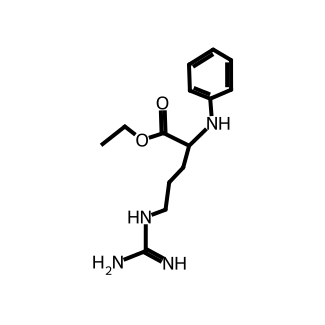 CCOC(=O)C(CCCNC(=N)N)Nc1ccccc1